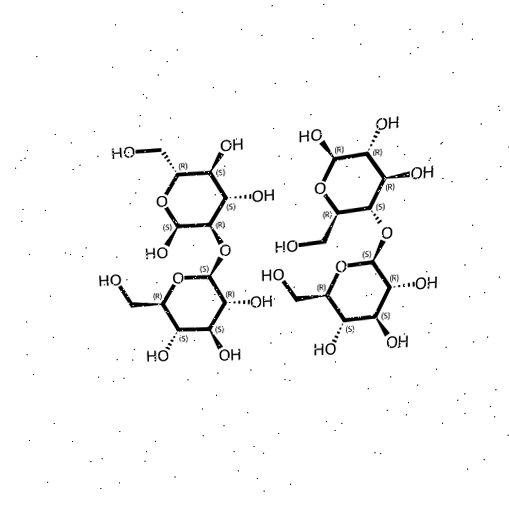 OC[C@H]1O[C@@H](O[C@@H]2[C@@H](O)[C@H](O)[C@@H](CO)O[C@@H]2O)[C@H](O)[C@@H](O)[C@@H]1O.OC[C@H]1O[C@@H](O[C@H]2[C@H](O)[C@@H](O)[C@H](O)O[C@@H]2CO)[C@H](O)[C@@H](O)[C@@H]1O